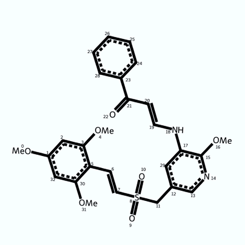 COc1cc(OC)c(C=CS(=O)(=O)Cc2cnc(OC)c(NC=CC(=O)c3ccccc3)c2)c(OC)c1